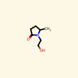 CC1CCC(=O)N1CCO